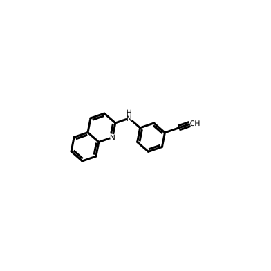 C#Cc1cccc(Nc2ccc3ccccc3n2)c1